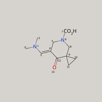 CN(C)C=C1CN(C(=O)O)CC2(CC2)C1=O